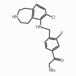 CC(C)(C)CC(=O)c1ccc(CNc2c(Cl)ccc3c2CCNCC3)c(F)c1